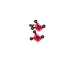 O=S(=O)(OCc1ccccc1)c1nc(S(=O)(=O)Oc2ccccc2)n(S(=O)(=O)[O-])c1S(=O)(=O)OCc1ccccc1.O=S(=O)(OCc1ccccc1)c1nc(S(=O)(=O)Oc2ccccc2)n(S(=O)(=O)[O-])c1S(=O)(=O)OCc1ccccc1.[Na+].[Na+]